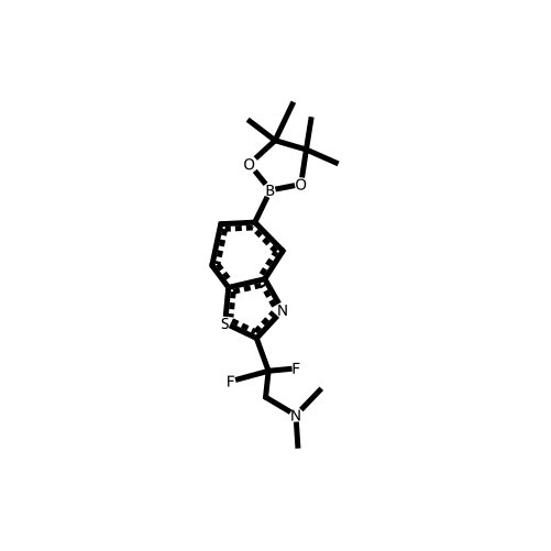 CN(C)CC(F)(F)c1nc2cc(B3OC(C)(C)C(C)(C)O3)ccc2s1